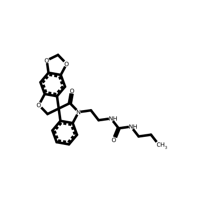 CCCNC(=O)NCCN1C(=O)C2(COc3cc4c(cc32)OCO4)c2ccccc21